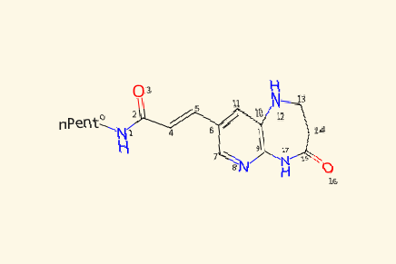 CCCCCNC(=O)/C=C/c1cnc2c(c1)NCCC(=O)N2